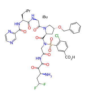 CC[C@H](C)[C@H](NC(=O)[C@H](CC(C)C)NC(=O)c1cnccn1)C(=O)N1C[C@H](OCc2ccccc2)C[C@H]1C(=O)N(CC(=O)NC(=O)C(=O)[C@@H](N)CC(F)F)S(=O)(=O)c1cc(C(=O)O)ccc1Cl